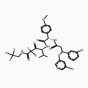 COc1ccc([C@H](NC(=O)CC(Oc2cncc(Cl)c2)c2cccc(Cl)c2)C(=O)N[C@H](C(=O)C(F)(F)C(=O)NCC(F)(F)F)C(C)C)cc1